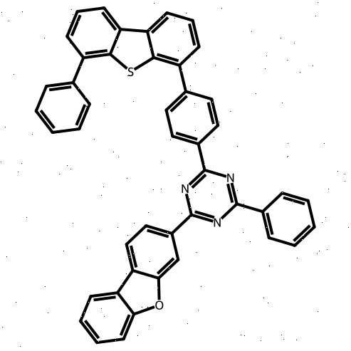 c1ccc(-c2nc(-c3ccc(-c4cccc5c4sc4c(-c6ccccc6)cccc45)cc3)nc(-c3ccc4c(c3)oc3ccccc34)n2)cc1